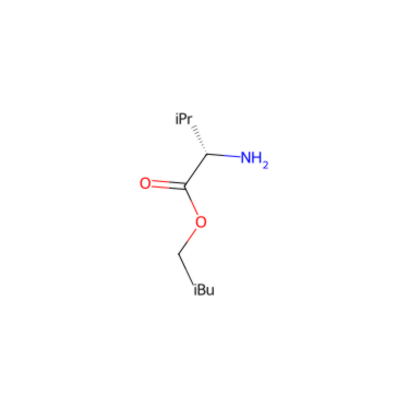 CCC(C)COC(=O)[C@@H](N)C(C)C